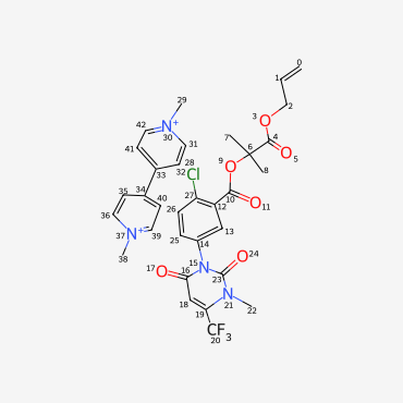 C=CCOC(=O)C(C)(C)OC(=O)c1cc(-n2c(=O)cc(C(F)(F)F)n(C)c2=O)ccc1Cl.C[n+]1ccc(-c2cc[n+](C)cc2)cc1